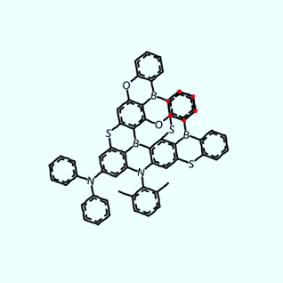 Cc1cccc(C)c1N1c2cc(N(c3ccccc3)c3ccccc3)cc3c2B(c2c(cc4c5c2Oc2ccccc2B5c2ccccc2O4)S3)c2c1cc1c3c2Sc2ccccc2B3c2ccccc2S1